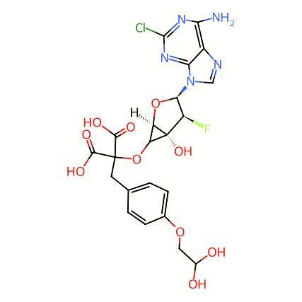 Nc1nc(Cl)nc2c1ncn2[C@@H]1O[C@@H]2C(OC(Cc3ccc(OCC(O)O)cc3)(C(=O)O)C(=O)O)[C@]2(O)[C@@H]1F